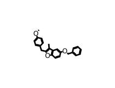 COc1ccc(Cc2oc3ccc(OCc4ccccc4)cc3c2C)cc1